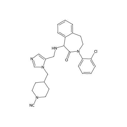 N#CN1CCC(Cn2cncc2CNC2C(=O)N(c3ccccc3Cl)CCc3ccccc32)CC1